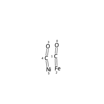 O=[C]=[Fe].O=[C]=[Ni]